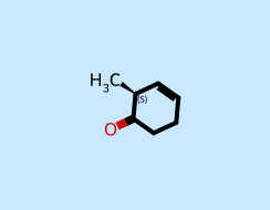 C[C@H]1C=CCCC1=O